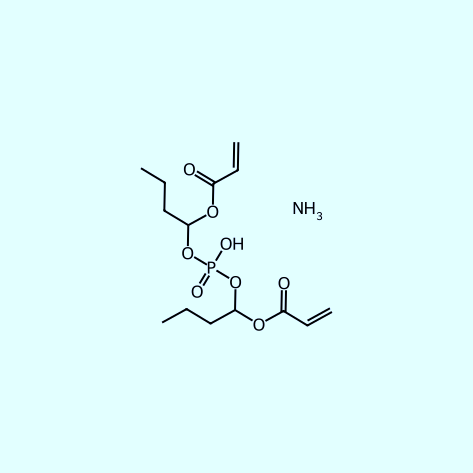 C=CC(=O)OC(CCC)OP(=O)(O)OC(CCC)OC(=O)C=C.N